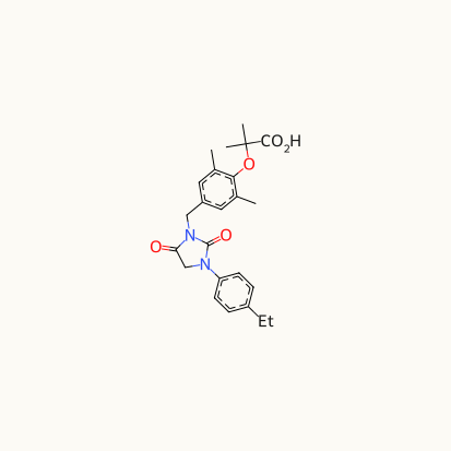 CCc1ccc(N2CC(=O)N(Cc3cc(C)c(OC(C)(C)C(=O)O)c(C)c3)C2=O)cc1